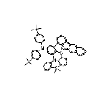 CC(C)(C)c1ccc(N(c2ccc(C(C)(C)C)cc2)c2cc3c4c(c2)N2c5ccccc5[Si](C)(C)c5cccc(c52)B4n2c4cc5ccccc5cc4c4cccc-3c42)cc1